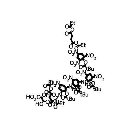 CC(C)(C)C(=O)Oc1c([N+](=O)[O-])cc([N+](=O)[O-])cc1[N+](=O)[O-].CC(C)(C)C(=O)Oc1c([N+](=O)[O-])cc([N+](=O)[O-])cc1[N+](=O)[O-].CC(C)(C)C(=O)Oc1c([N+](=O)[O-])cc([N+](=O)[O-])cc1[N+](=O)[O-].CC(C)(C)C(=O)Oc1c([N+](=O)[O-])cc([N+](=O)[O-])cc1[N+](=O)[O-].CCC(=O)OC(=O)CCC(=O)OC(=O)CC.CCC(=O)OC(=O)CCC(=O)OC(=O)CC.O=C(O)C(O)C(O)C(=O)O